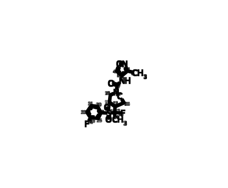 Cc1nocc1NC(=O)N1CCC(C(C)(F)S(=O)(=O)c2cccc(F)c2)CC1